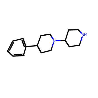 [c]1ccccc1C1CCN(C2CCNCC2)CC1